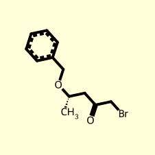 C[C@@H](CC(=O)CBr)OCc1ccccc1